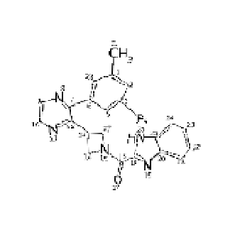 Cc1cc(F)cc(-c2nccnc2C2CN(C(=O)c3nc4ccccc4[nH]3)C2)c1